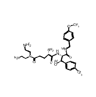 NCCN(CCN)C(=O)CC[C@H](N)C(=O)N[C@H](C(=O)NCc1ccc(OC(F)(F)F)cc1)[C@H](O)c1ccc(C(F)(F)F)cc1